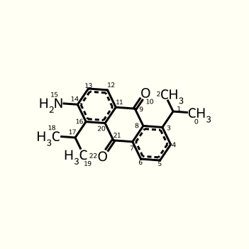 CC(C)c1cccc2c1C(=O)c1ccc(N)c(C(C)C)c1C2=O